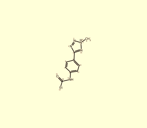 [CH2-][NH+]1N=NC(c2ccc(NC(=O)CC)cc2)=N1